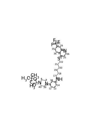 CC(C)(C)OC(=O)N1CCN(c2cccc(NCCCCCCSc3ccnc4cc(C(F)(F)F)ccc34)c2)CC1